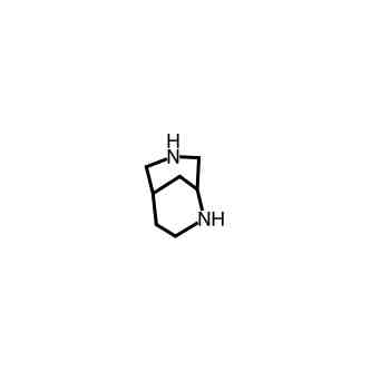 C1CC2CNCC(C2)N1